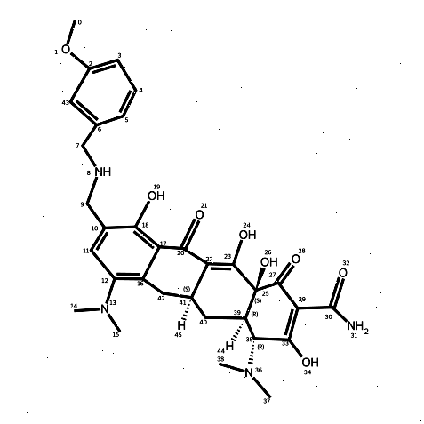 COc1cccc(CNCc2cc(N(C)C)c3c(c2O)C(=O)C2=C(O)[C@]4(O)C(=O)C(C(N)=O)=C(O)[C@H](N(C)C)[C@H]4C[C@H]2C3)c1